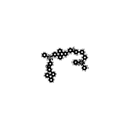 c1ccc(C2=NC(c3cccc(-c4cccc(-c5ccc6c(c5)sc5ccc(-c7ccc8c(c7)c7ccccc7c7c(-c9cccc(-c%10nc(-c%11ccccc%11)nc(-c%11ccc%12c(c%11)oc%11ccc(-c%13cccc%14c%15ccccc%15c%15ccccc%15c%13%14)cc%11%12)n%10)c9)cccc87)cc56)c4)c3)=NC(c3ccccc3)N2)cc1